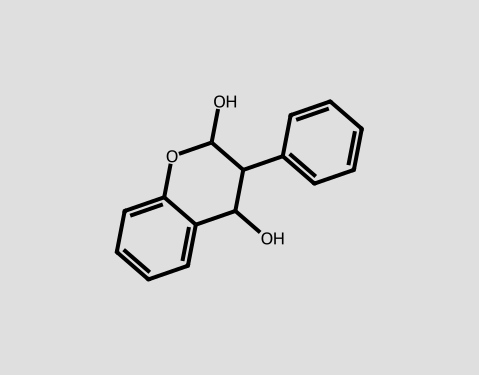 OC1Oc2ccccc2C(O)C1c1ccccc1